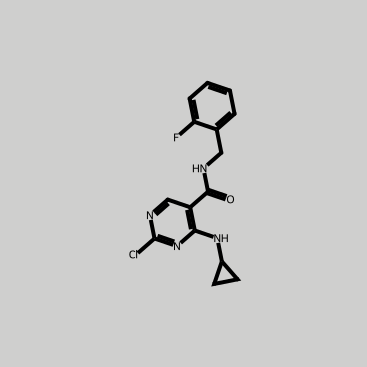 O=C(NCc1ccccc1F)c1cnc(Cl)nc1NC1CC1